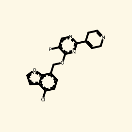 Fc1cnc(C2=CCN=CC2)nc1OCc1ccc(Cl)c2ccoc12